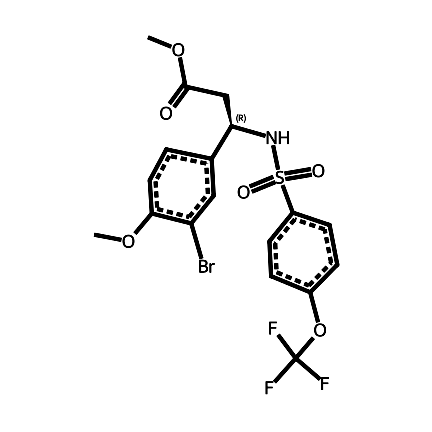 COC(=O)C[C@@H](NS(=O)(=O)c1ccc(OC(F)(F)F)cc1)c1ccc(OC)c(Br)c1